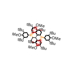 COc1c(C(C)(C)C)cc(P(c2cc(C(C)(C)C)c(OC)c(C(C)(C)C)c2)c2ccc3c(c2[C@H]2C4=C(CCC2P(c2cc(C(C)(C)C)c(OC)c(C(C)(C)C)c2)c2cc(C(C)(C)C)c(OC)c(C(C)(C)C)c2)OCO4)OCO3)cc1C(C)(C)C